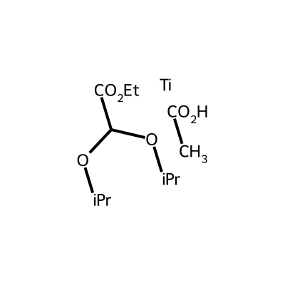 CC(=O)O.CCOC(=O)C(OC(C)C)OC(C)C.[Ti]